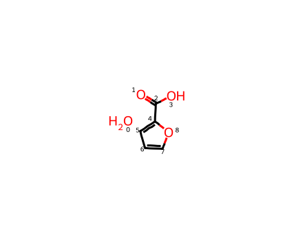 O.O=C(O)c1ccco1